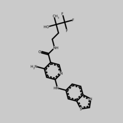 CC(O)(CCNC(=O)c1cnc(Nc2ccc3ncsc3c2)cc1N)C(F)(F)F